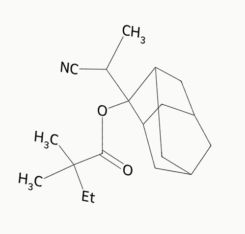 CCC(C)(C)C(=O)OC1(C(C)C#N)C2CC3CC(C2)CC1C3